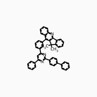 CC1(C)c2ccccc2-c2nc3ccccc3c(-c3cccc(-c4cc(-c5ccccc5)nc(-c5ccc(-c6ccccc6)cc5)n4)c3)c21